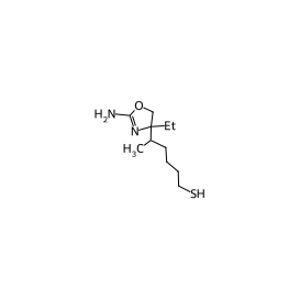 CCC1(C(C)CCCCS)COC(N)=N1